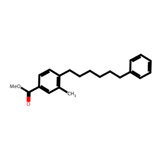 COC(=O)c1ccc(CCCCCCc2ccccc2)c(C)c1